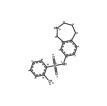 O=S(=O)(Nc1ccc2c(c1)CNCCC2)c1ccccc1C(F)(F)F